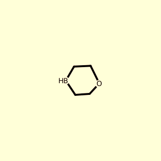 B1CCOCC1